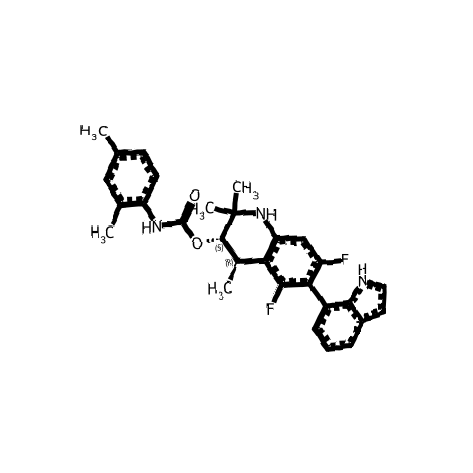 Cc1ccc(NC(=O)O[C@H]2[C@H](C)c3c(cc(F)c(-c4cccc5cc[nH]c45)c3F)NC2(C)C)c(C)c1